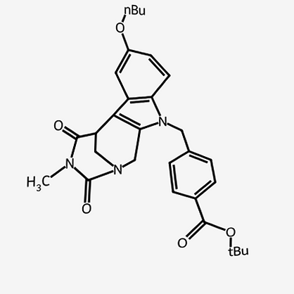 CCCCOc1ccc2c(c1)c1c(n2Cc2ccc(C(=O)OC(C)(C)C)cc2)CN2CC1C(=O)N(C)C2=O